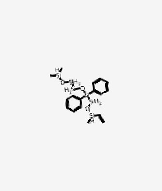 C=C[SiH](C)O[SiH2][Si](O[SiH2][SiH2]O[SiH](C)C)(c1ccccc1)c1ccccc1